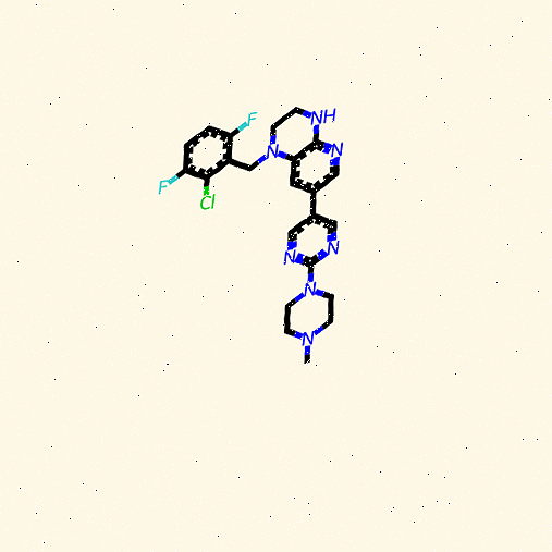 CN1CCN(c2ncc(-c3cnc4c(c3)N(Cc3c(F)ccc(F)c3Cl)CCN4)cn2)CC1